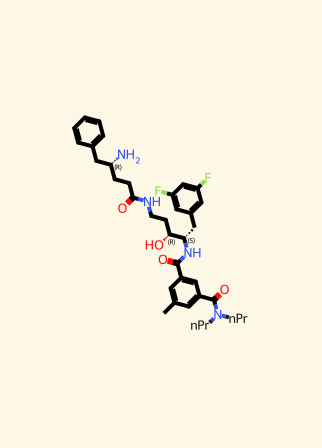 CCCN(CCC)C(=O)c1cc(C)cc(C(=O)N[C@@H](Cc2cc(F)cc(F)c2)[C@H](O)CCNC(=O)CC[C@@H](N)Cc2ccccc2)c1